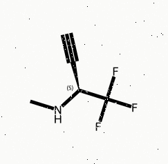 C#C[C@H](NC)C(F)(F)F